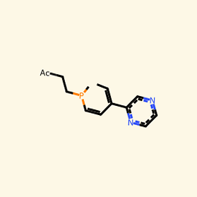 C/C=C(\C=C/P(C)CCC(C)=O)c1cnccn1